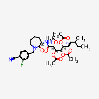 CCC(C)/C=C/[C@@H](OC(C)=O)[C@H](OC(C)=O)[C@@H](OC(C)=O)[C@@H](OC)C(=O)N[C@H]1CCCCN(Cc2ccc(C#N)c(F)c2)C1=O